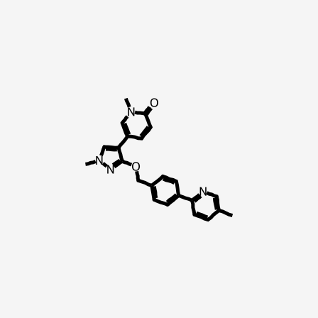 Cc1ccc(-c2ccc(COc3nn(C)cc3-c3ccc(=O)n(C)c3)cc2)nc1